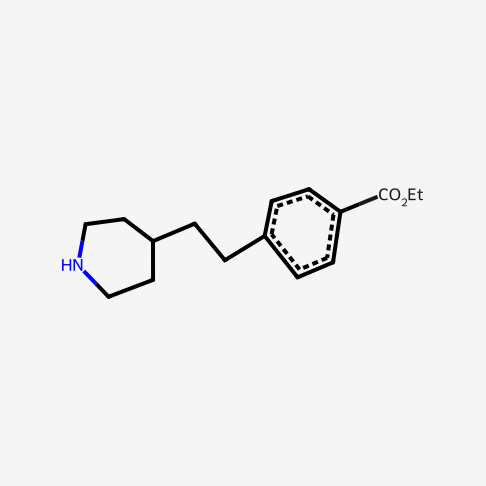 CCOC(=O)c1ccc(CCC2CCNCC2)cc1